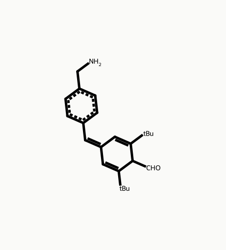 CC(C)(C)C1=CC(=Cc2ccc(CN)cc2)C=C(C(C)(C)C)C1C=O